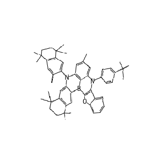 Cc1cc2c3c(c1)N(c1ccc(C(C)(C)C)cc1)c1c(oc4ccccc14)B3c1cc3c(cc1N2c1cc2c(cc1C)C(C)(C)CCC2(C)C)C(C)(C)CCC3(C)C